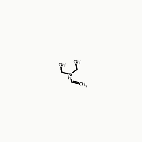 C=C[SiH](CO)CO